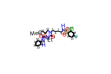 CCNC(=O)N(CCCCNS(=O)(=O)c1ccc(F)cc1Cl)CC(COC)OC(=O)Nc1ccccc1